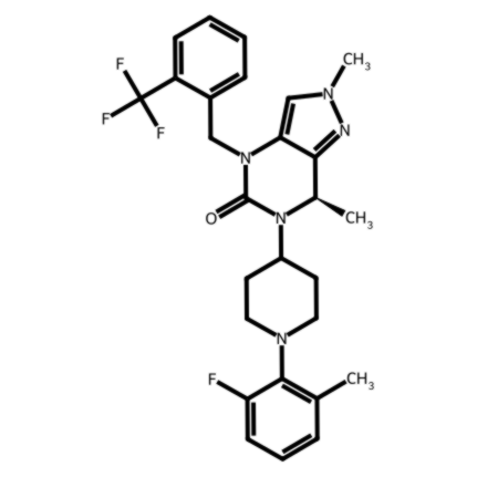 Cc1cccc(F)c1N1CCC(N2C(=O)N(Cc3ccccc3C(F)(F)F)c3cn(C)nc3[C@H]2C)CC1